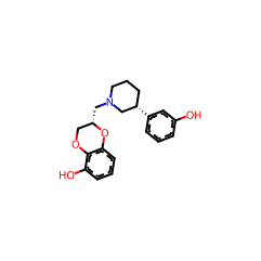 Oc1cccc([C@H]2CCCN(C[C@H]3COc4c(O)cccc4O3)C2)c1